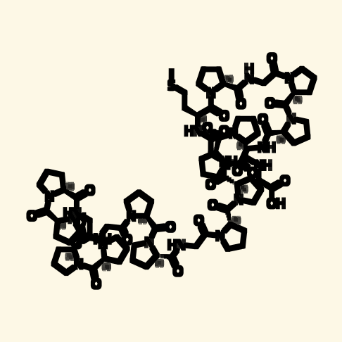 CSCC[C@H](NC(=O)CNC(=O)[C@@H]1CCCN1C(=O)[C@@H]1CCCN1C(=O)CNC(=O)[C@@H]1CCCN1C(=O)[C@@H]1CCCN1C(=O)CNC(=O)[C@@H]1CCCN1C(=O)[C@@H]1CCCN1C(=O)CNC(=O)[C@@H]1CCCN1C(=O)[C@@H]1CCCN1)C(=O)N1CCC[C@H]1C(=O)NCC(=O)N1CCC[C@H]1C(=O)N1CCC[C@H]1C(=O)NCC(=O)N1CCC[C@H]1C(=O)N1CCC[C@H]1C(=O)NCC(=O)O